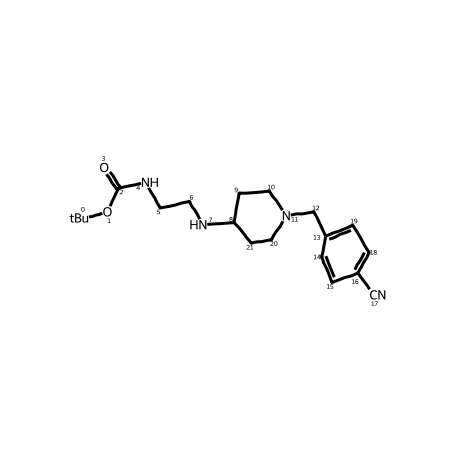 CC(C)(C)OC(=O)NCCNC1CCN(Cc2ccc(C#N)cc2)CC1